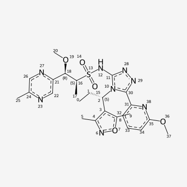 CC[C@@H](c1c(C)noc1C)n1c(NS(=O)(=O)[C@@H](C)[C@H](OC)c2cnc(C)cn2)nnc1-c1cccc(OC)n1